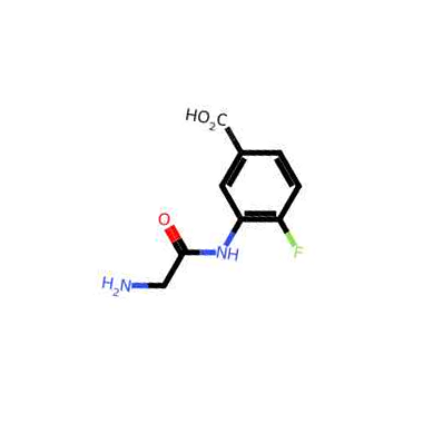 NCC(=O)Nc1cc(C(=O)O)ccc1F